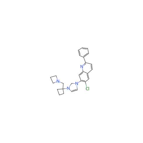 Clc1cc2ccc(-c3ccccc3)nc2cc1N1C=CN(C2(CN3CCC3)CCC2)C1